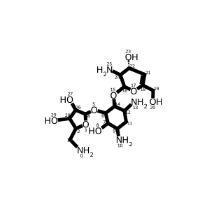 NCC1OC(OC2C(O)C(N)CC(N)C2OC2OC(CO)=C[C@@H](O)C2N)C(O)C1O